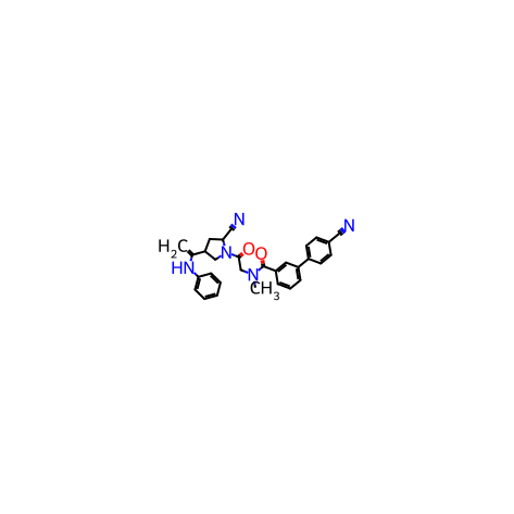 C=C(Nc1ccccc1)C1CC(C#N)N(C(=O)CN(C)C(=O)c2cccc(-c3ccc(C#N)cc3)c2)C1